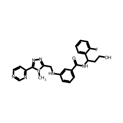 Cn1c(CNc2cccc(C(=O)NC(CCO)c3ccccc3F)c2)nnc1-c1ccncn1